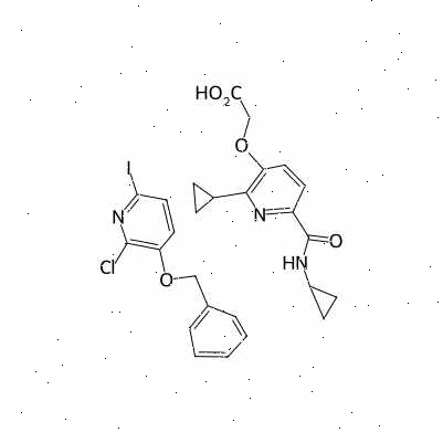 Clc1nc(I)ccc1OCc1ccccc1.O=C(O)COc1ccc(C(=O)NC2CC2)nc1C1CC1